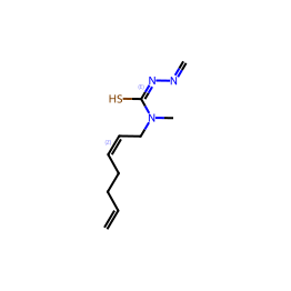 C=CCC/C=C\CN(C)/C(S)=N\N=C